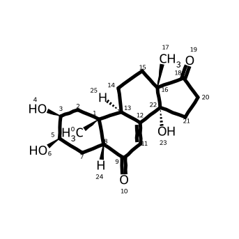 C[C@]12C[C@H](O)[C@H](O)C[C@H]1C(=O)C=C1[C@@H]2CC[C@]2(C)C(=O)CC[C@@]12O